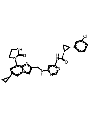 O=C(Nc1cc(NCc2cn3cc(C4CC4)cc(N4CCNC4=O)c3n2)ncn1)[C@H]1C[C@@H]1c1cccc(Cl)c1